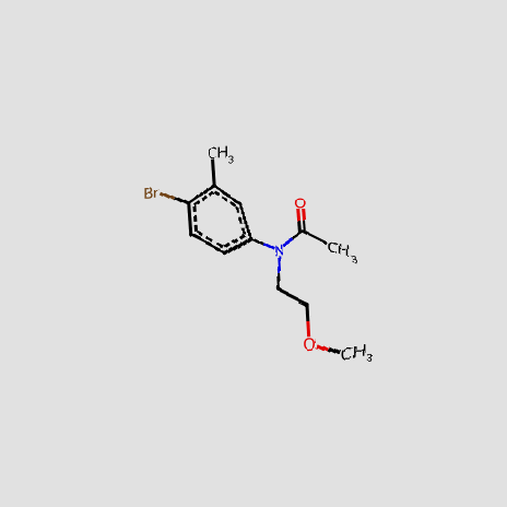 COCCN(C(C)=O)c1ccc(Br)c(C)c1